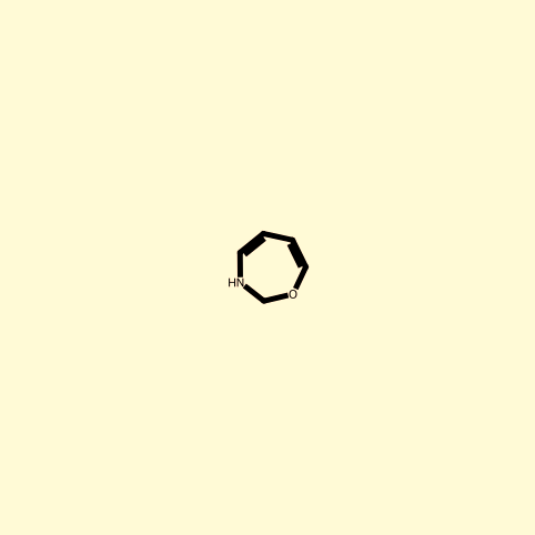 C1=CNCOC=C1